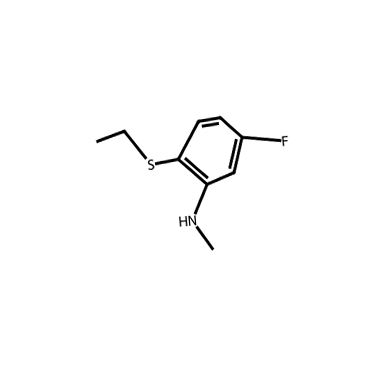 CCSc1ccc(F)cc1NC